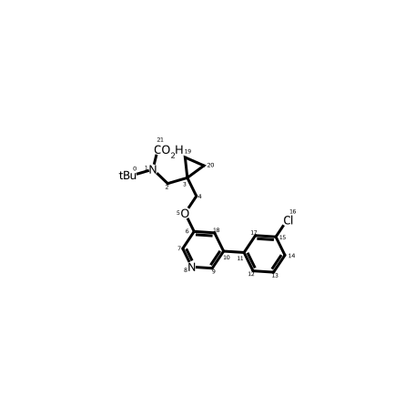 CC(C)(C)N(CC1(COc2cncc(-c3cccc(Cl)c3)c2)CC1)C(=O)O